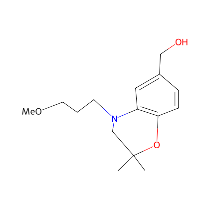 COCCCN1CC(C)(C)Oc2ccc(CO)cc21